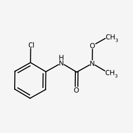 CON(C)C(=O)Nc1ccccc1Cl